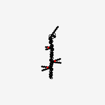 C=C(C)C(=O)OC(CCCCCCCCCCC)Oc1ccc2c(c1)sc1cc(-c3ccc4c(c3)C(CCCCC)(CCCCC)c3cc(-c5cc6cc7sc(-c8ccc9c(c8)C(CCCCCCCC)(CCCCCCCC)c8cc%10cc%11c(cc%10cc8-9)C(CCCCCCCC)(CCCCCCCC)c8cc(-c9cc%10cc%12sc(C)cc%12cc%10s9)ccc8-%11)cc7cc6s5)ccc3-4)ccc12